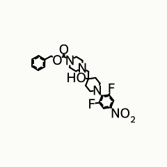 O=C(OCc1ccccc1)N1CCN(CC2(O)CCN(c3c(F)cc([N+](=O)[O-])cc3F)CC2)CC1